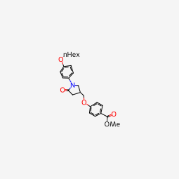 CCCCCCOc1ccc(N2CC(COc3ccc(C(=O)OC)cc3)CC2=O)cc1